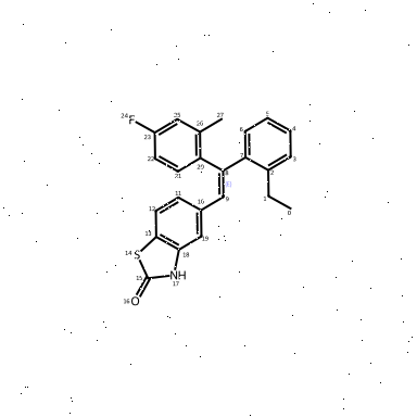 CCc1ccccc1/C(=C/c1ccc2sc(=O)[nH]c2c1)c1ccc(F)cc1C